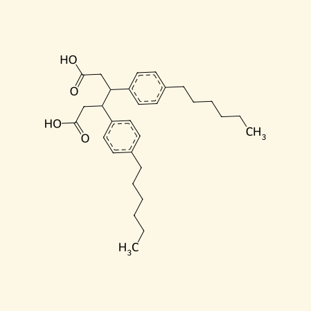 CCCCCCc1ccc(C(CC(=O)O)C(CC(=O)O)c2ccc(CCCCCC)cc2)cc1